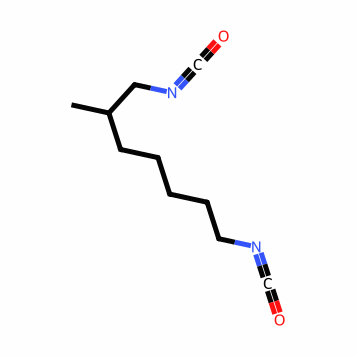 CC(CCCCCN=C=O)CN=C=O